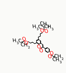 C=C(C)C(=O)OCCCCc1cc(CCCCOC(=O)C(C)C(C)C)cc2cc(-c3ccc(OC(=O)C(=C)C)cc3)c(=O)oc12